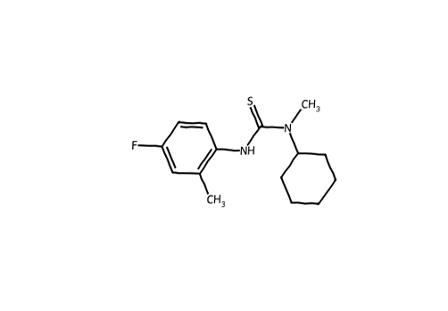 Cc1cc(F)ccc1NC(=S)N(C)C1CCCCC1